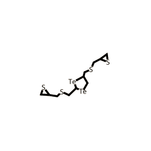 C(SCC1C[Te]C(CSCC2CS2)[Te]1)C1CS1